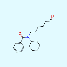 O=CCCCCCN(C(=O)c1ccccc1)C1CCCCC1